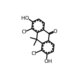 CC1(C)c2c(ccc(O)c2Cl)C(=O)c2ccc(O)c(Cl)c21